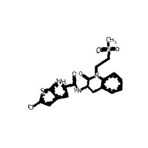 CS(=O)(=O)CCN1C(=O)C(NC(=O)c2cc3cc(Cl)sc3[nH]2)Cc2ccccc21